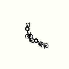 CC(=O)N1CCN(c2ccc3c(c2)CCN(CS(=O)(=O)N(C)Cc2ccc(Cl)cc2)C3)CC1